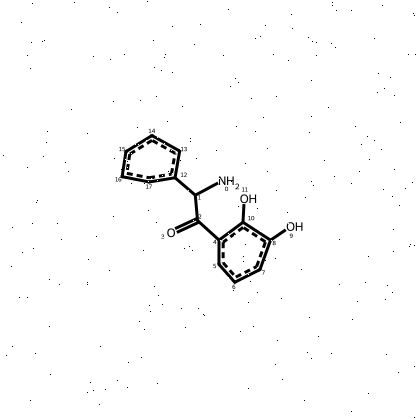 NC(C(=O)c1cccc(O)c1O)c1ccccc1